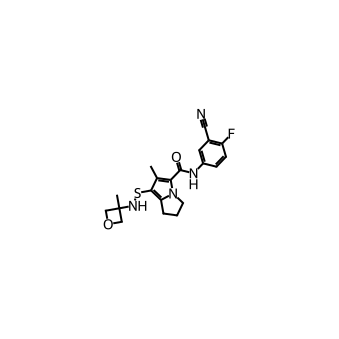 Cc1c(SNC2(C)COC2)c2n(c1C(=O)Nc1ccc(F)c(C#N)c1)CCC2